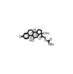 CCCCC(=O)OCC(=O)[C@@]1(OC(C)=O)CC[C@H]2[C@@H]3CCC4=CC(=O)C=C[C@]4(C)[C@H]3C(O)C[C@@]21C